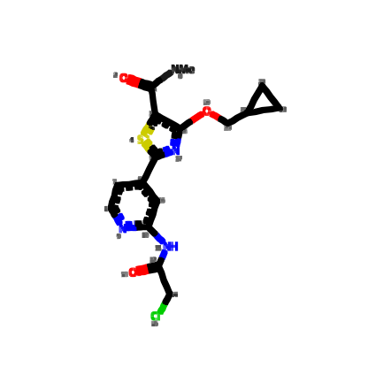 CNC(=O)c1sc(-c2ccnc(NC(=O)CCl)c2)nc1OCC1CC1